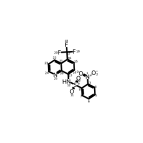 O=[N+]([O-])c1ccccc1S(=O)(=O)Nc1ccc(C(F)(F)F)c2cccnc12